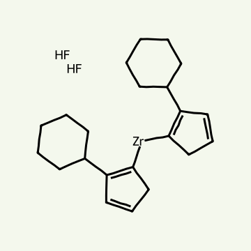 C1=CC(C2CCCCC2)=[C]([Zr][C]2=C(C3CCCCC3)C=CC2)C1.F.F